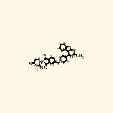 Cc1nc(C2=CCN(Cc3ccc4c(c3)C(=O)N(N3CCC(=O)NC3=O)C4=O)CC2)c2c3c(sc2n1)CCCC3